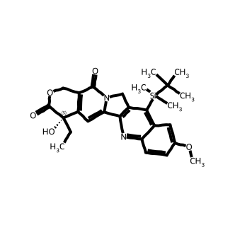 CC[C@@]1(O)C(=O)OCc2c1cc1n(c2=O)Cc2c-1nc1ccc(OC)cc1c2[Si](C)(C)C(C)(C)C